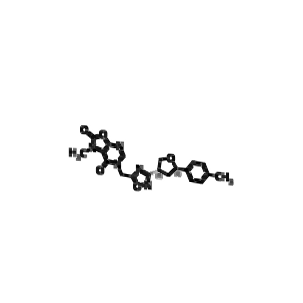 Cc1ccc([C@H]2C[C@H](c3noc(Cn4cnc5oc(=O)n(C)c5c4=O)n3)CO2)cc1